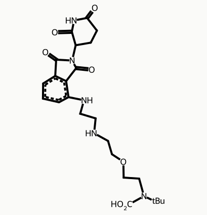 CC(C)(C)N(CCOCCNCCNc1cccc2c1C(=O)N(C1CCC(=O)NC1=O)C2=O)C(=O)O